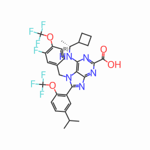 CC(C)c1ccc(OC(F)(F)F)c(-c2nc3nc(C(=O)O)nc(N[C@H](C)C4CCC4)c3n2Cc2ccc(OC(F)(F)F)c(F)c2)c1